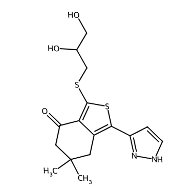 CC1(C)CC(=O)c2c(SCC(O)CO)sc(-c3cc[nH]n3)c2C1